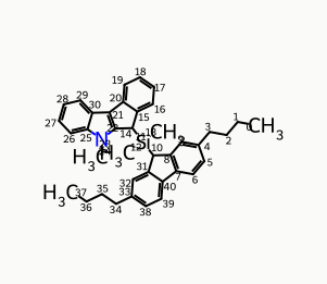 CCCCc1ccc2c(c1)C([Si](C)(C)C1c3ccccc3-c3c1n(C)c1ccccc31)c1cc(CCCC)ccc1-2